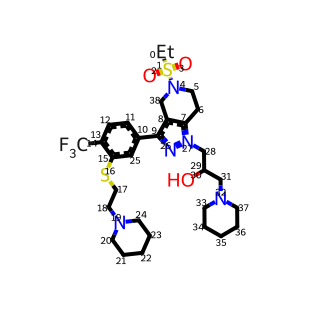 CCS(=O)(=O)N1CCc2c(c(-c3ccc(C(F)(F)F)c(SCCN4CCCCC4)c3)nn2CC(O)CN2CCCCC2)C1